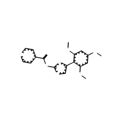 COc1cc(OC)c(-c2csc(NC(=O)c3ccncc3)n2)c(OC)c1